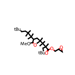 COC(=O)C(CC(C)(C)C(C)(C)C(C)(CC(C)(C)C)C(=O)OCC1CO1)C(C)(C)C(C)(C)CCC(C)(C)C